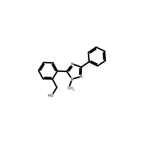 Cn1nc(-c2ccccc2)nc1-c1ccccc1CO